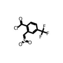 O=C(Cl)c1ccc(C(F)(F)F)cc1C=S(=O)=O